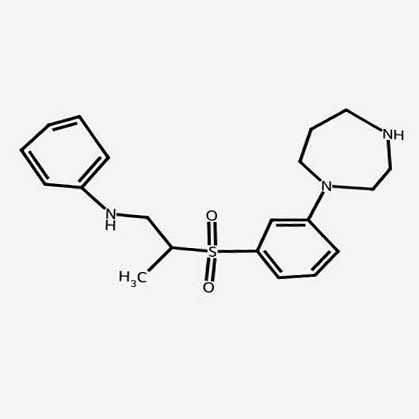 CC(CNc1ccccc1)S(=O)(=O)c1cccc(N2CCCNCC2)c1